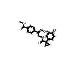 COC(=O)c1ccc(C(CNC(=O)C2(c3ccc(Cl)cc3)CC2)=NO)cc1